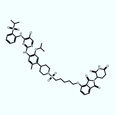 Cc1cc(Nc2ncc(Cl)c(Nc3ccccc3S(=O)(=O)C(C)C)n2)c(OC(C)C)cc1C1CCN(S(=O)(=O)CCCCCOc2cccc3c2C(=O)N(C2CCC(=O)NC2=O)C3=O)CC1